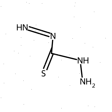 N=NC(=S)NN